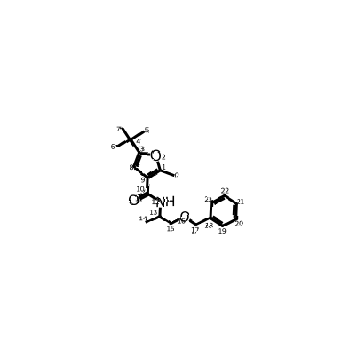 Cc1oc(C(C)(C)C)cc1C(=O)NC(C)COCc1ccccc1